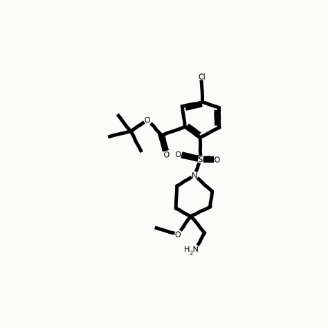 COC1(CN)CCN(S(=O)(=O)c2ccc(Cl)cc2C(=O)OC(C)(C)C)CC1